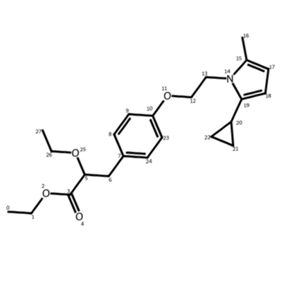 CCOC(=O)C(Cc1ccc(OCCn2c(C)ccc2C2CC2)cc1)OCC